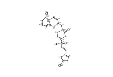 O=C1CN(S(=O)(=O)/C=C/c2ccc(Cl)s2)CCN1Cc1ccc2c(Cl)cnnc2c1